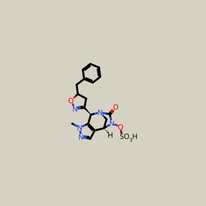 Cn1ncc2c1[C@@H](C1=NOC(Cc3ccccc3)C1)N1C[C@H]2N(OS(=O)(=O)O)C1=O